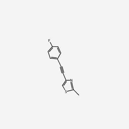 Cc1nc(C#Cc2ccc(F)cc2)cs1